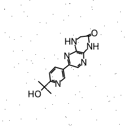 CC(C)(O)c1ccc(-c2cnc3c(n2)NCC(=O)N3)cn1